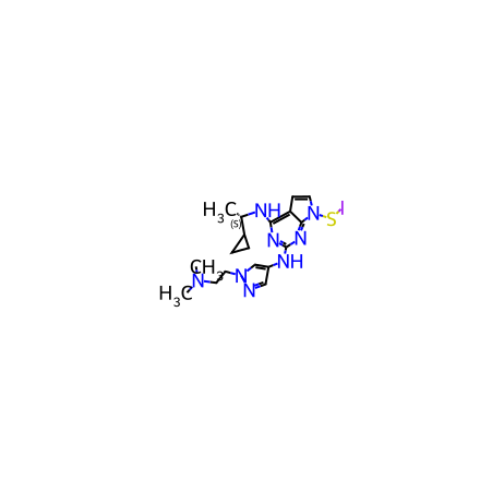 C[C@H](Nc1nc(Nc2cnn(CCN(C)C)c2)nc2c1ccn2SI)C1CC1